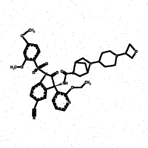 CCOc1ncccc1[C@]1(NC(=O)N2CC3CC2CN3C2CCN(C3COC3)CC2)C(=O)N(S(=O)(=O)c2ccc(OC)cc2OC)c2ccc(C#N)cc21